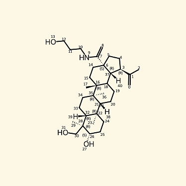 C=C(C)[C@@H]1CC[C@]2(C(=C)NCCCO)CC[C@]3(C)C(CC[C@@H]4[C@@]5(C)CC[C@H](O)[C@@](C)(CO)[C@@H]5CC[C@]43C)[C@@H]12